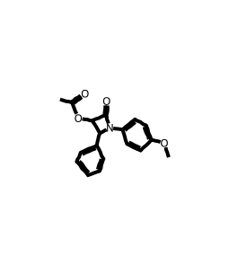 COc1ccc(N2C(=O)C(OC(C)=O)C2c2ccccc2)cc1